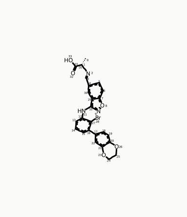 C[C@H](N=Cc1ccc2onc(Nc3cccc(-c4ccc5c(c4)OCCO5)c3Br)c2c1)C(=O)O